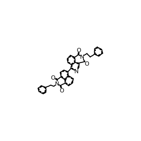 O=C1c2cccc3c(-c4ncc5c6c(cccc46)C(=O)N(CCc4ccccc4)C5=O)ccc(c23)C(=O)N1CCc1ccccc1